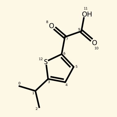 CC(C)c1ccc(C(=O)C(=O)O)s1